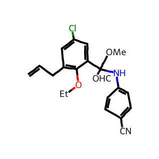 [CH2]COc1c(CC=C)cc(Cl)cc1C(C=O)(Nc1ccc(C#N)cc1)OC